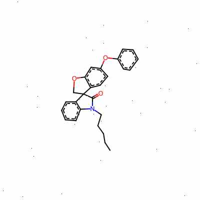 CCCCCN1C(=O)C2(COc3cc(Oc4ccccc4)ccc32)c2ccccc21